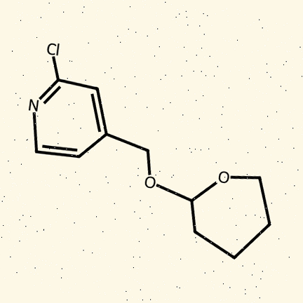 Clc1cc(COC2CCCCO2)ccn1